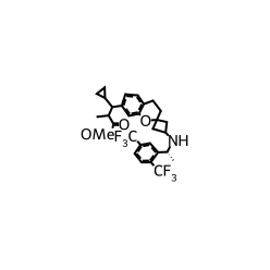 COC(=O)C(C)C(c1ccc2c(c1)OC1(CC2)CC(N[C@H](C)c2cc(C(F)(F)F)ccc2C(F)(F)F)C1)C1CC1